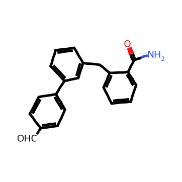 NC(=O)c1ccccc1Cc1cccc(-c2ccc(C=O)cc2)c1